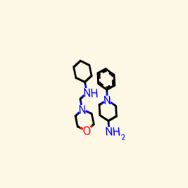 C1CCC(NCN2CCOCC2)CC1.NC1CCN(c2ccccc2)CC1